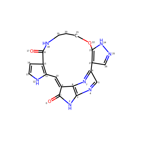 O=C1Nc2ncc3nc2/C1=C/c1[nH]ccc1C(=O)NCCCOc1[nH]ncc1-3